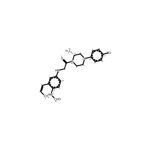 C/C=C\c1cc(NCC(=O)N2CCN(c3ccc(Cl)cc3)C[C@H]2C)ccc1NC=O